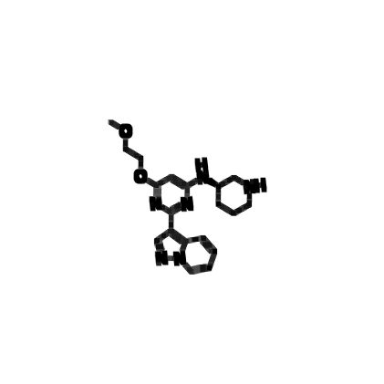 COCCOc1cc(N[C@@H]2CCCNC2)nc(-c2cnn3ccccc23)n1